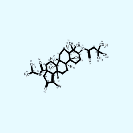 CC(C)C1=C2[C@H]3CC[C@@H]4[C@@]5(C)CC[C@H](OC(=O)CC(C)(C)C(=O)O)C(C)(C)[C@@H]5CC[C@@]4(C)[C@]3(C)CC[C@@]2(C(=O)NC(C)C(F)(F)F)CC1=O